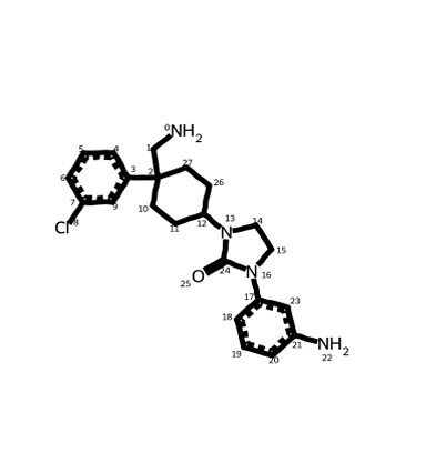 NCC1(c2cccc(Cl)c2)CCC(N2CCN(c3cccc(N)c3)C2=O)CC1